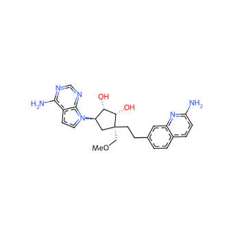 COC[C@]1(CCc2ccc3ccc(N)nc3c2)C[C@@H](n2ccc3c(N)ncnc32)[C@H](O)[C@@H]1O